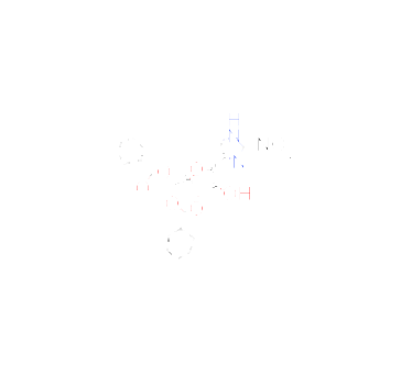 O=C(OC[C@H]1O[C@@H](c2c[nH]c([N+](=O)[O-])n2)[C@@H](O)[C@@H]1OC(=O)c1ccccc1)c1ccccc1